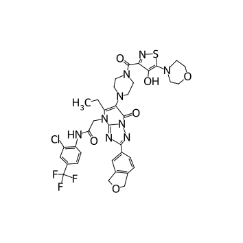 CCc1c(N2CCN(C(=O)c3nsc(N4CCOCC4)c3O)CC2)c(=O)n2nc(-c3ccc4c(c3)COC4)nc2n1CC(=O)Nc1ccc(C(F)(F)F)cc1Cl